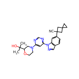 CC(C)(O)C1CN(c2cc(-n3ncc4ccc(C5(C#N)CC6(CC6)C5)cc43)ncn2)CCO1